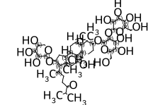 CC(C)C(=O)CC[C@@H](C)[C@H]1[C@@H](O[C@@H]2OC[C@H](O)[C@H](O)[C@H]2O)C[C@@]2(C)[C@@H]3CC[C@H]4C(C)(C)[C@@H](O[C@@H]5O[C@H](CO)[C@@H](O)[C@H](O)[C@H]5O[C@@H]5O[C@H](CO)[C@@H](O)[C@H](O)[C@H]5O)CC[C@@]45C[C@@]35[C@H](O)C[C@]12C